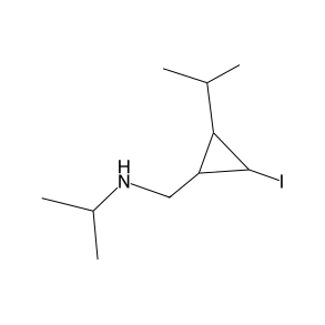 CC(C)NCC1C(I)C1C(C)C